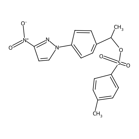 Cc1ccc(S(=O)(=O)OC(C)c2ccc(-n3ccc([N+](=O)[O-])n3)cc2)cc1